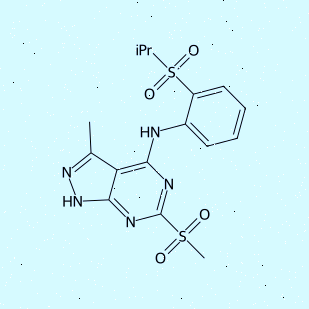 Cc1n[nH]c2nc(S(C)(=O)=O)nc(Nc3ccccc3S(=O)(=O)C(C)C)c12